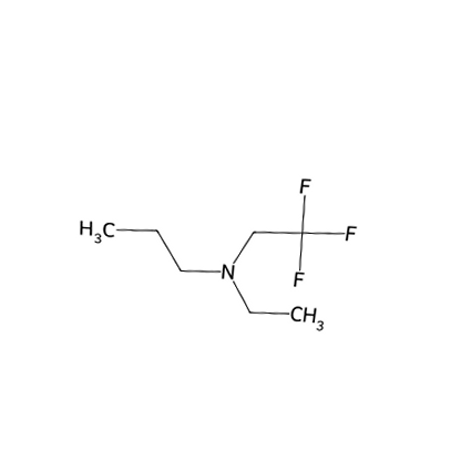 CCCN(CC)CC(F)(F)F